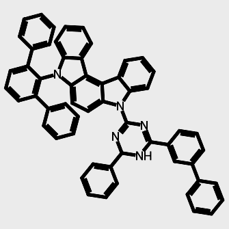 c1ccc(-c2cccc(C3=NC(n4c5ccccc5c5c6c7ccccc7n(-c7c(-c8ccccc8)cccc7-c7ccccc7)c6ccc54)=NC(c4ccccc4)N3)c2)cc1